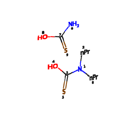 CCCN(CCC)C(O)=S.NC(O)=S